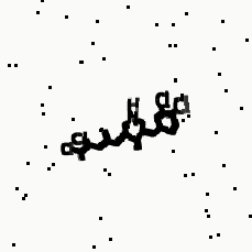 C=C1/C(=C/C(C)=C/C(Cl)=C(\C)Cl)CNC/C1=C\c1ccc(Cl)c(Cl)c1